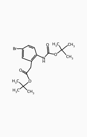 CC(C)(C)OC(=O)Cc1cc(Br)ccc1NC(=O)OC(C)(C)C